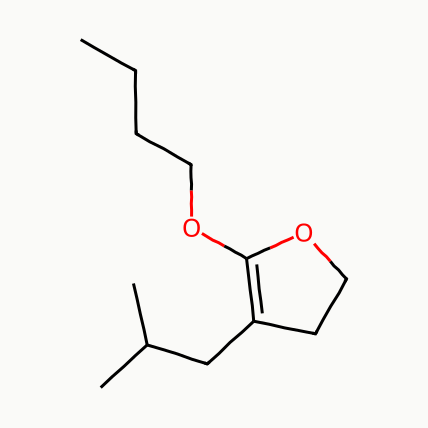 CCCCOC1=C(CC(C)C)CCO1